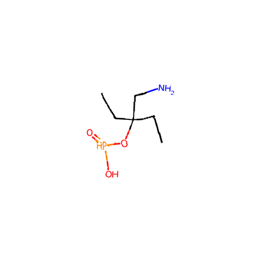 CCC(CC)(CN)O[PH](=O)O